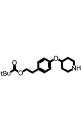 CC(C)(C)C(=O)OCCc1ccc(OC2CCNCC2)cc1